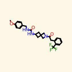 COc1ccc(CNC(=O)NC2CC3(C2)CN(C(=O)Cc2ccccc2C(F)(F)F)C3)cc1